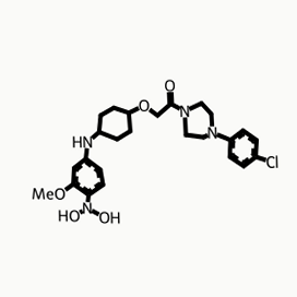 COc1cc(NC2CCC(OCC(=O)N3CCN(c4ccc(Cl)cc4)CC3)CC2)ccc1N(O)O